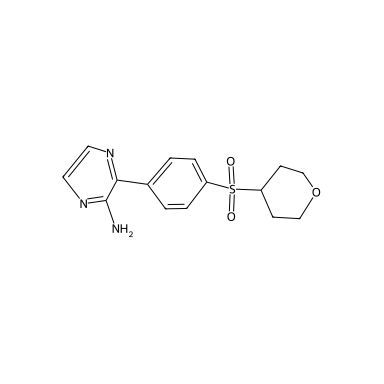 Nc1nccnc1-c1ccc(S(=O)(=O)C2CCOCC2)cc1